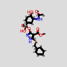 COC(=O)c1c(O[As](=O)(O)c2ccc(O)c(NC(C)=O)c2)n[nH]c1SCc1ccccc1